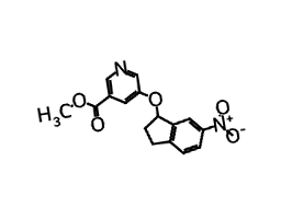 COC(=O)c1cncc(OC2CCc3ccc([N+](=O)[O-])cc32)c1